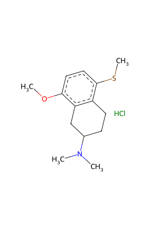 COc1ccc(SC)c2c1CC(N(C)C)CC2.Cl